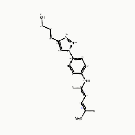 CO/C(C)=C/C=C(\C)Nc1ccc(-n2cc(CCCO)nn2)cc1